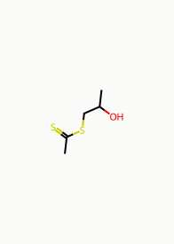 CC(=S)SCC(C)O